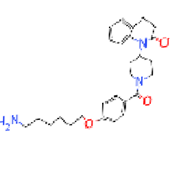 NCCCCCCOc1ccc(C(=O)N2CCC(N3C(=O)CCc4ccccc43)CC2)cc1